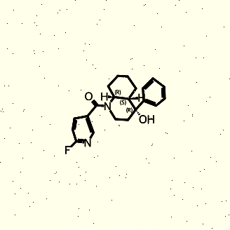 O=C(c1ccc(F)nc1)N1CC[C@](O)(c2ccccc2)[C@H]2CCCC[C@H]21